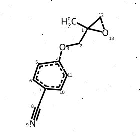 CC1(COc2ccc(C#N)cc2)CO1